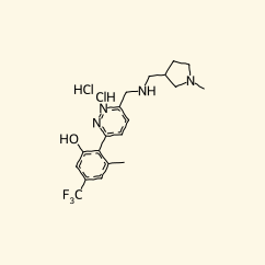 Cc1cc(C(F)(F)F)cc(O)c1-c1ccc(CNCC2CCN(C)C2)nn1.Cl.Cl